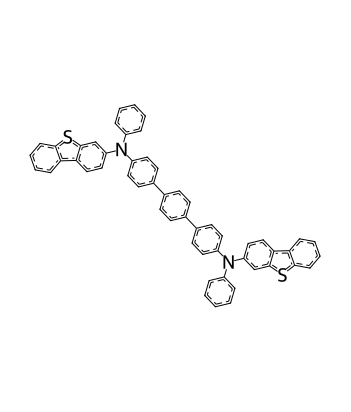 c1ccc(N(c2ccc(-c3ccc(-c4ccc(N(c5ccccc5)c5ccc6c(c5)sc5ccccc56)cc4)cc3)cc2)c2ccc3c(c2)sc2ccccc23)cc1